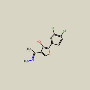 C/C(=N\N)c1csc(-c2ccc(Cl)c(Cl)c2)c1O